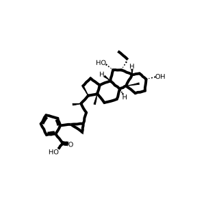 CC[C@H]1[C@@H](O)[C@H]2C3CC[C@H]([C@H](C)CC4CC4c4ccccc4C(=O)O)[C@@]3(C)CC[C@@H]2[C@@]2(C)CC[C@@H](O)C[C@@H]12